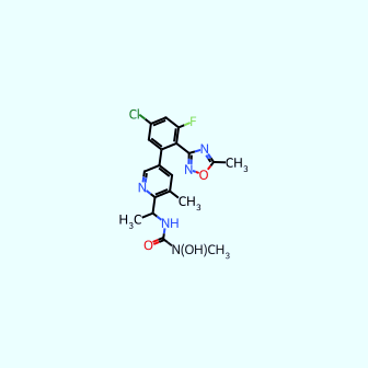 Cc1nc(-c2c(F)cc(Cl)cc2-c2cnc(C(C)NC(=O)N(C)O)c(C)c2)no1